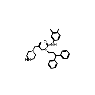 C=C(CN1CCNCC1)CN(CCC(c1ccccc1)c1ccccc1)C(=O)Nc1ccc(I)c(C)c1